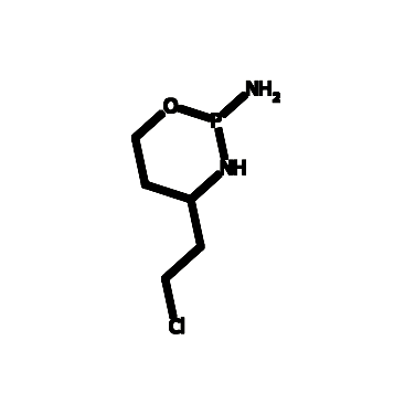 NP1NC(CCCl)CCO1